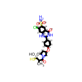 CC(CS)C(=O)N1CC(Oc2ccc(C3NC(=O)c4cc(S(N)(=O)=O)c(Cl)cc4N3)cc2)C[C@H]1C(=O)O